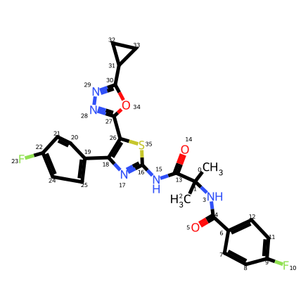 CC(C)(NC(=O)c1ccc(F)cc1)C(=O)Nc1nc(-c2ccc(F)cc2)c(-c2nnc(C3CC3)o2)s1